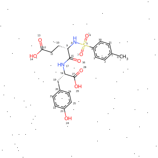 Cc1ccc(S(=O)(=O)N[C@@H](CCC(=O)O)C(=O)N[C@@H](Cc2ccc(O)cc2)C(=O)O)cc1